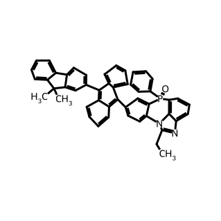 CCc1nc2cccc3c2n1-c1ccc(-c2c4ccccc4c(-c4ccc5c(c4)C(C)(C)c4ccccc4-5)c4ccccc24)cc1P3(=O)c1ccccc1